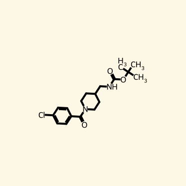 CC(C)(C)OC(=O)NCC1CCN(C(=O)c2ccc(Cl)cc2)CC1